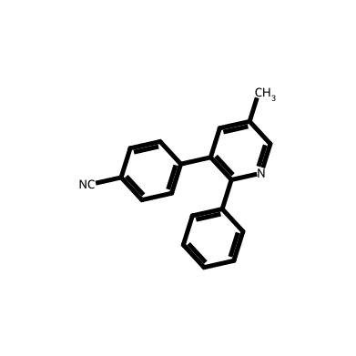 Cc1cnc(-c2ccccc2)c(-c2ccc(C#N)cc2)c1